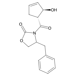 O=C1OCC(Cc2ccccc2)N1C(=O)[C@@H]1CC=C[C@H]1O